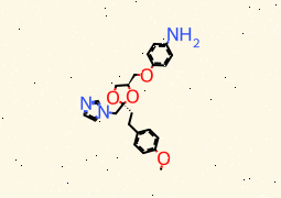 COc1ccc(CC[C@]2(Cn3ccnc3)OC[C@@H](COc3ccc(N)cc3)O2)cc1